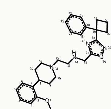 COc1ccccc1C1CCN(CCNCc2nc(C3(c4ccccc4)CCC3)no2)CC1